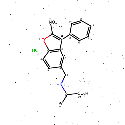 CC(C)C(NCc1ccc2oc([N+](=O)[O-])c(-c3ccccc3)c2c1)C(=O)O.Cl